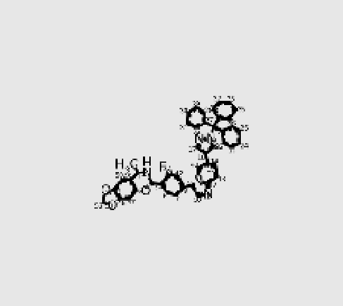 CC(NC(=O)c1ccc(-c2cnc3ccc(-c4cnn(C(c5ccccc5)(c5ccccc5)c5ccccc5)c4)cn23)cc1F)c1ccc2c(c1)OCO2